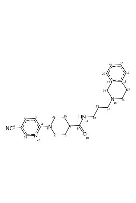 N#Cc1ccc(N2CCC(C(=O)NCCCN3CCc4ccccc4C3)CC2)nc1